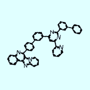 c1ccc(-c2cccc(-c3nc(-c4cccc(-c5ccc(-c6nc7ccccc7c7nc8ccccn8c67)cc5)c4)cc(-c4ccccn4)n3)c2)cc1